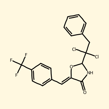 O=C1NC(C(Cl)(Cl)Cc2ccccc2)O/C1=C\c1ccc(C(F)(F)F)cc1